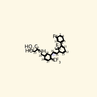 CC1(F)C(c2cccc(F)c2)=CC=CC1/C=C/c1cc(CNC(CO)C(=O)O)ccc1C(F)(F)F